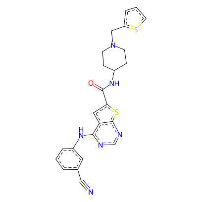 N#Cc1cccc(Nc2ncnc3sc(C(=O)NC4CCN(Cc5cccs5)CC4)cc23)c1